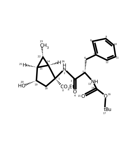 CCOC(=O)[C@]1(NC(=O)[C@H](Cc2ccccc2)NC(=O)OC(C)(C)C)C[C@H](O)[C@H]2[C@H](C)[C@H]21